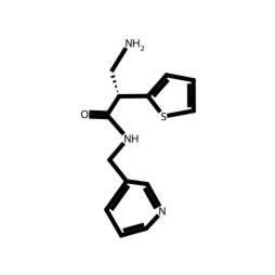 NC[C@@H](C(=O)NCc1cccnc1)c1cccs1